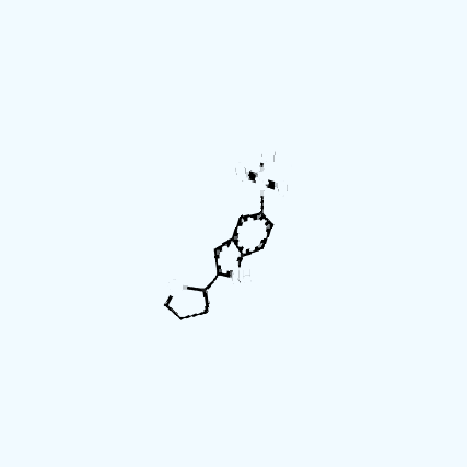 CS(=O)(=O)c1ccc2[nH]c(C3CCCO3)cc2c1